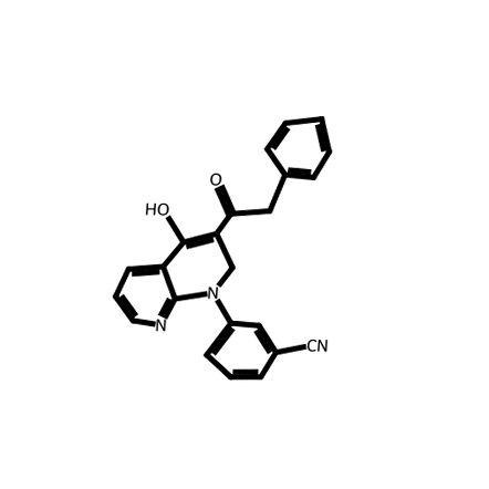 N#Cc1cccc(N2CC(C(=O)Cc3ccccc3)=C(O)c3cccnc32)c1